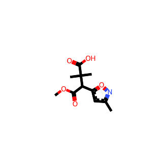 COC(=O)C(c1cc(C)no1)C(C)(C)C(=O)O